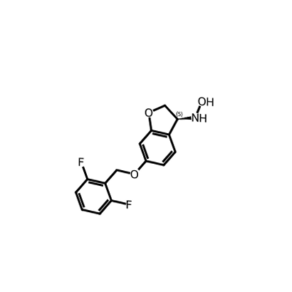 ON[C@@H]1COc2cc(OCc3c(F)cccc3F)ccc21